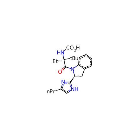 CCCc1c[nH]c([C@@H]2Cc3ccccc3N2C(=O)[C@@](CC)(NC(=O)O)C(C)(C)C)n1